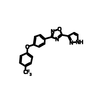 FC(F)(F)c1ccc(Oc2ccc(-c3noc(-c4cc[nH]n4)n3)cc2)cc1